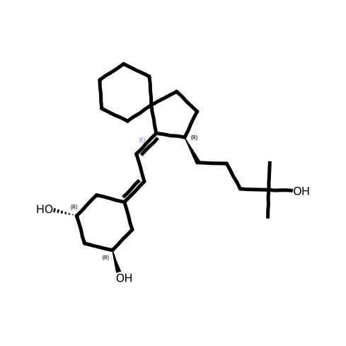 CC(C)(O)CCC[C@@H]1CCC2(CCCCC2)/C1=C/C=C1C[C@@H](O)C[C@H](O)C1